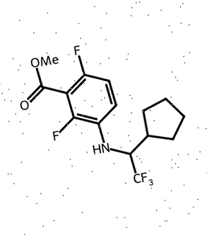 COC(=O)c1c(F)ccc(NC(C2CCCC2)C(F)(F)F)c1F